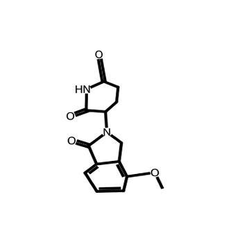 COc1cccc2c1CN(C1CCC(=O)NC1=O)C2=O